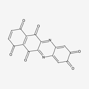 O=c1cc2nc3c(=O)c4c(=O)ccc(=O)c4c(=O)c3nc2cc1=O